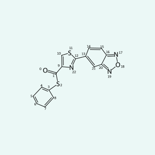 O=C(Sc1ccccc1)c1csc(-c2ccc3nonc3c2)n1